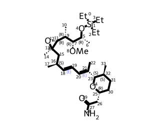 CC[Si](CC)(CC)O[C@H](C)[C@H](OC)[C@@H](C)[C@H]1O[C@]1(C)C[C@H](C)/C=C/C=C(\C)[C@H]1O[C@@H](CC(N)=O)CC[C@@H]1C